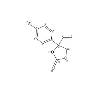 C=CC1(c2ccc(F)cc2)COC(=O)O1